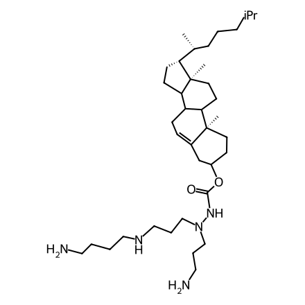 CC(C)CCC[C@@H](C)[C@H]1CCC2C3CC=C4CC(OC(=O)NN(CCCN)CCCNCCCCN)CC[C@]4(C)C3CC[C@@]21C